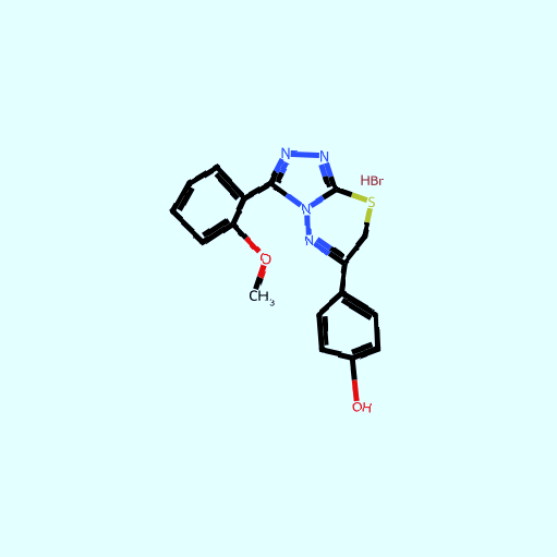 Br.COc1ccccc1-c1nnc2n1N=C(c1ccc(O)cc1)CS2